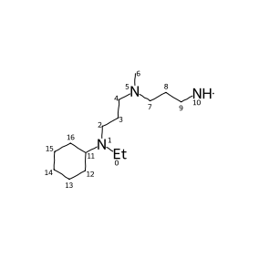 CCN(CCCN(C)CCC[NH])C1CCCCC1